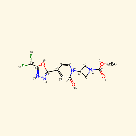 CC(C)(C)OC(=O)N1CC(n2ccc(-c3nnc(C(F)F)o3)cc2=O)C1